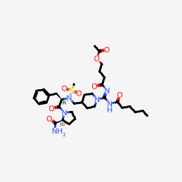 CCCCCC(=O)NC(=NC(=O)CCCOC(C)=O)N1CCC(CN([C@H](Cc2ccccc2)C(=O)N2CCC[C@H]2C(N)=O)S(C)(=O)=O)CC1